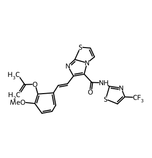 C=C(C)Oc1c(/C=C/c2nc3sccn3c2C(=O)Nc2nc(C(F)(F)F)cs2)cccc1OC